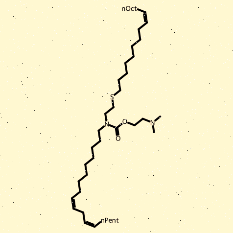 CCCCC/C=C\C/C=C\CCCCCCCCN(CCSCCCCCCCC/C=C\CCCCCCCC)C(=O)OCCN(C)C